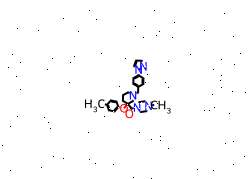 Cc1ccc(OC2(C(=O)N3CCN(C)CC3)CCCN(Cc3ccc(-n4cccn4)cc3)C2)cc1